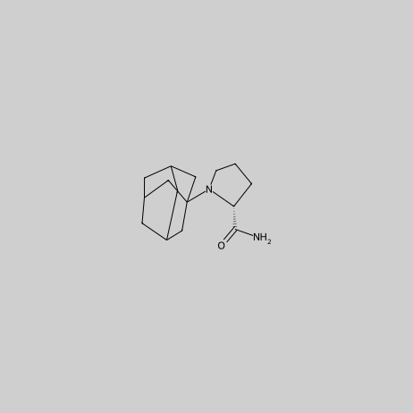 NC(=O)[C@H]1CCCN1C12CC3CC(CC(C3)C1)C2